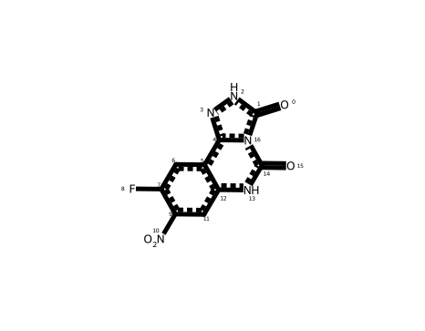 O=c1[nH]nc2c3cc(F)c([N+](=O)[O-])cc3[nH]c(=O)n12